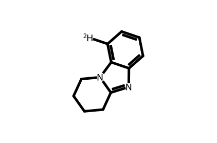 [2H]c1cccc2nc3n(c12)CCCC3